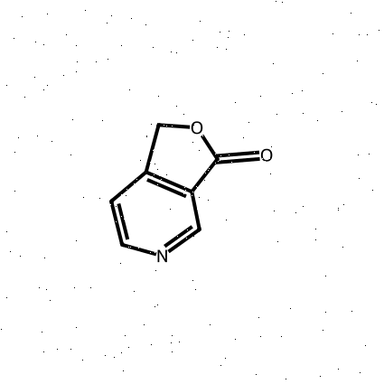 O=C1OCc2ccncc21